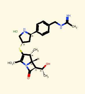 CC(=N)NCc1ccc([C@H]2C[C@H](SC3=C(C(=O)O)N4C(=O)[C@H]([C@@H](C)O)[C@H]4[C@H]3C)CN2)cc1.Cl